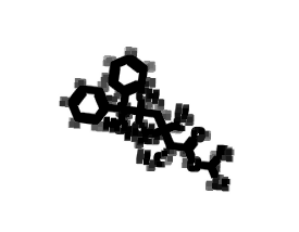 CCC(CC)OC(=O)[C@H](C)C(C)(C)CC(C)(C)[Si](O)(c1ccccc1)c1ccccc1